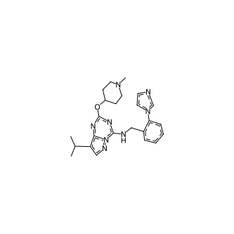 CC(C)c1cnn2c(NCc3ccccc3-n3ccnc3)nc(OC3CCN(C)CC3)nc12